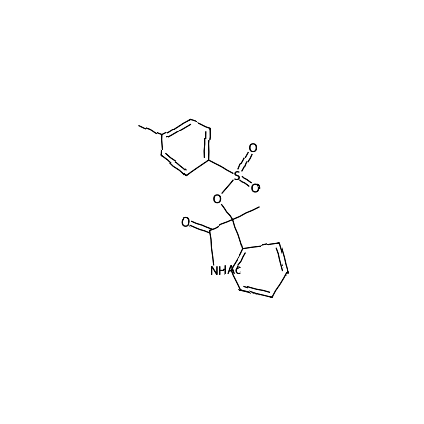 CC(=O)NC(=O)C(C)(OS(=O)(=O)c1ccc(C)cc1)c1ccccc1